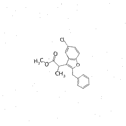 COC(=O)C(C)c1c(Cc2ccccc2)oc2ccc(Cl)cc12